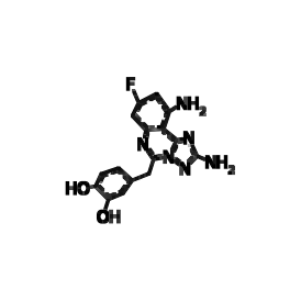 Nc1nc2c3c(N)cc(F)cc3nc(Cc3ccc(O)c(O)c3)n2n1